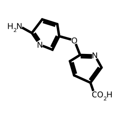 Nc1ccc(Oc2ccc(C(=O)O)cn2)cn1